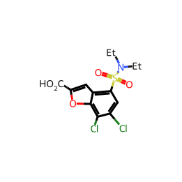 CCN(CC)S(=O)(=O)c1cc(Cl)c(Cl)c2oc(C(=O)O)cc12